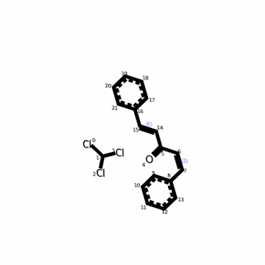 ClC(Cl)Cl.O=C(/C=C\c1ccccc1)/C=C/c1ccccc1